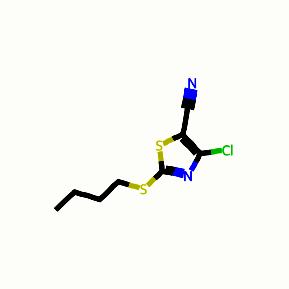 CCCCSc1nc(Cl)c(C#N)s1